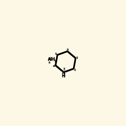 C1CCNCC1.[AlH3]